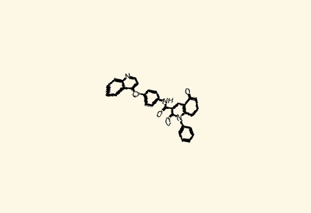 O=C1CCCc2c1cc(C(=O)Nc1ccc(Oc3ccnc4ccccc34)cc1)c(=O)n2-c1ccccc1